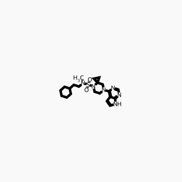 CN(CCC1CCCCC1)S(=O)(=O)N1CCN(c2ncnc3[nH]ccc23)CC12CC2